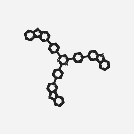 c1ccc2c(c1)sc1ccc(-c3ccc(-c4cc(-c5ccc(-c6ccc7sc8ccccc8c7c6)cc5)nc(-c5ccc(-c6ccc7sc8ccccc8c7c6)cc5)n4)cc3)cc12